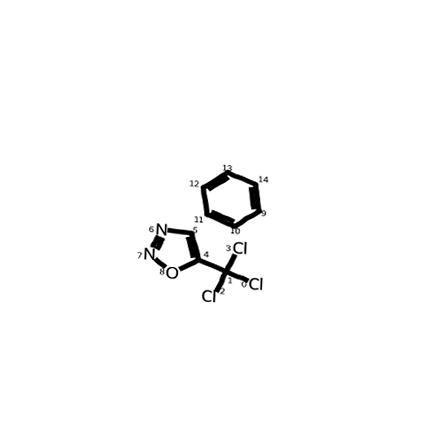 ClC(Cl)(Cl)c1cnno1.c1ccccc1